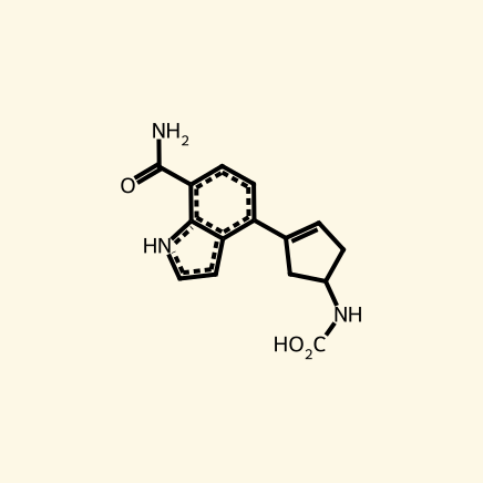 NC(=O)c1ccc(C2=CCC(NC(=O)O)C2)c2cc[nH]c12